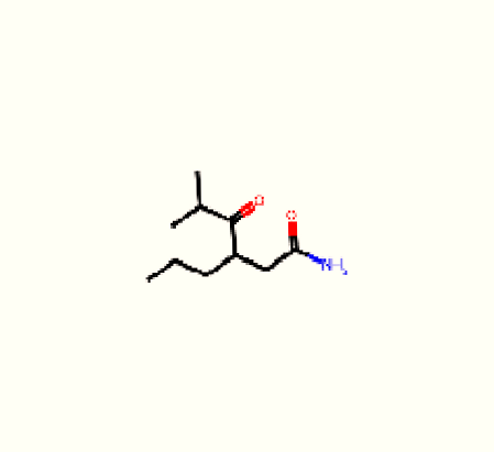 CCCC(CC(N)=O)C(=O)C(C)C